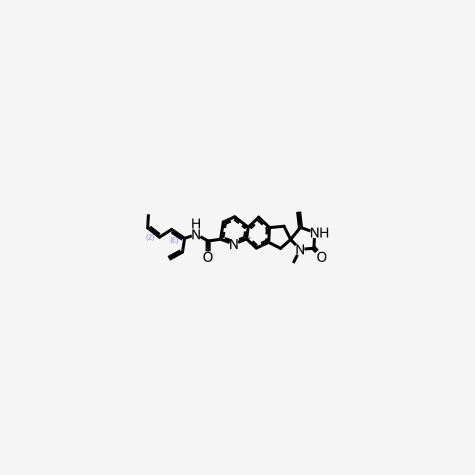 C=C/C(=C\C=C/C)NC(=O)c1ccc2cc3c(cc2n1)CC1(C3)C(=C)NC(=O)N1C